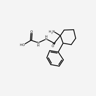 NC1(C(=O)NNC(=O)O)CCCCC1c1ccccc1